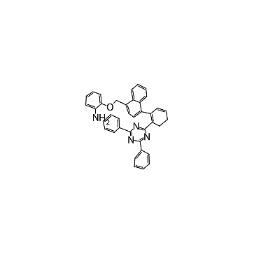 Nc1ccccc1OCc1ccc(C2=C(c3nc(-c4ccccc4)nc(-c4ccccc4)n3)CCC=C2)c2ccccc12